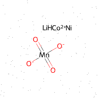 [Co+2].[LiH].[Ni].[O]=[Mn](=[O])([O-])[O-]